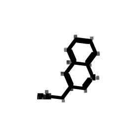 CNCc1cnc2ccccc2c1